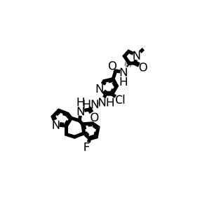 CN1CC[C@@H](NC(=O)c2cnc(NNC(=O)NC3c4cccnc4CCc4c(F)cccc43)c(Cl)c2)C1=O